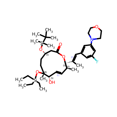 CC[Si](CC)(CC)O[C@]1(C)CC[C@H](O[Si](C)(C)C(C)(C)C)CC(=O)O[C@H](/C(C)=C/c2cc(F)cc(N3CCOCC3)c2)[C@@H](C)/C=C/[C@@H]1O